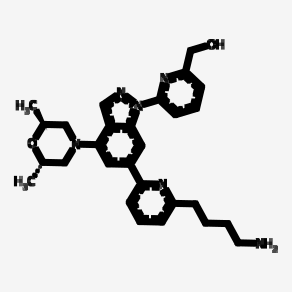 C[C@H]1CN(c2cc(-c3cccc(CCCCN)n3)cc3c2cnn3-c2cccc(CO)n2)C[C@H](C)O1